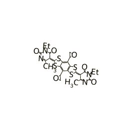 CCN1C(=O)N=C(C)C(=C2Sc3c(c(C4CO4)c4c(c3C3CO3)SC(=C3C(=O)N(CC)C(=O)N=C3C)S4)S2)C1=O